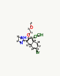 COCCOc1c(C2=NCCN2)cc2cc(Br)ccc2c1Cl.Cl